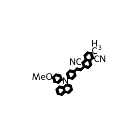 COc1ccc(N(c2ccc(C=Cc3ccc4c(C#N)c(C)ccc4c3C#N)cc2)c2cccc3ccccc23)cc1